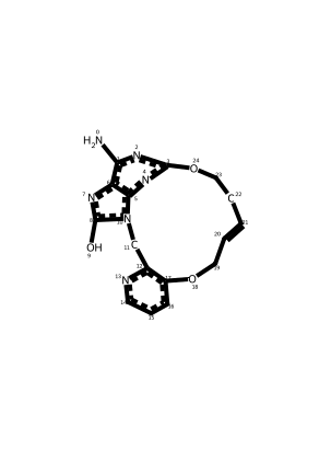 Nc1nc2nc3c1nc(O)n3Cc1ncccc1OC/C=C/CCO2